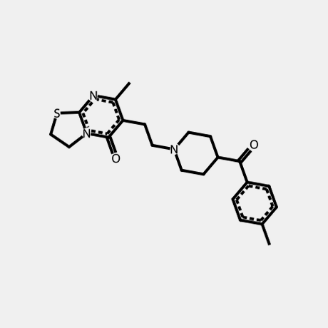 Cc1ccc(C(=O)C2CCN(CCc3c(C)nc4n(c3=O)CCS4)CC2)cc1